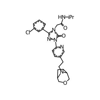 CC(C)NC(=O)Cn1c(-c2cccc(Cl)c2)nn(-c2ccc(CCN3C4CCC3COC4)cn2)c1=O